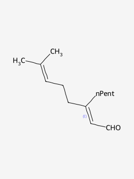 CCCCC/C(=C\C=O)CCC=C(C)C